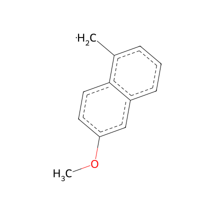 [CH2]c1cccc2cc(OC)ccc12